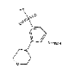 O=S(=O)(O)c1cccc(N2CCOCC2)c1.[NaH].[NaH]